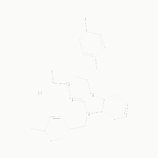 Cc1ccc(CC2CN(C(C)O)N=C3N(Cc4ccc(C)cc4)c4ccccc4N32)cc1